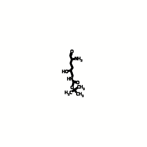 CC(C)(C)OC(=O)NCC(O)CCC(N)C=O